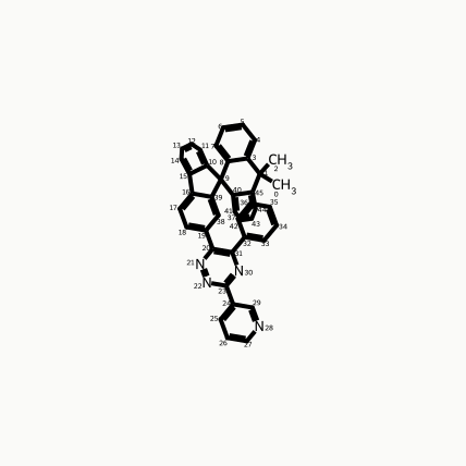 CC1(C)c2ccccc2C2(c3ccccc3-c3ccc(-c4nnc(-c5cccnc5)nc4-c4ccccc4)cc32)c2ccccc21